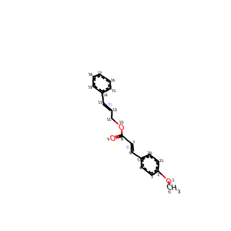 COc1ccc(/C=C/C(=O)OC/C=C/c2ccccc2)cc1